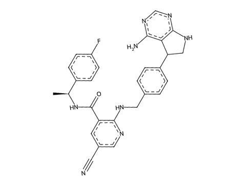 C[C@H](NC(=O)c1cc(C#N)cnc1NCc1ccc(C2CNc3ncnc(N)c32)cc1)c1ccc(F)cc1